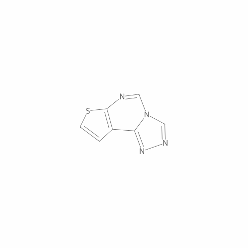 c1cc2c(ncn3cnnc23)s1